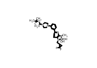 CN1c2nc(-c3cccc(N4CCN(C(=O)OC(C)(C)C)CC4)c3)ccc2N(CC2CC2(F)F)S1(O)O